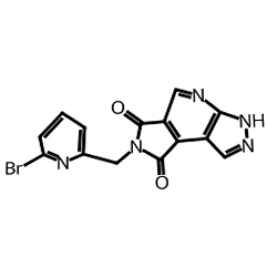 O=C1c2cnc3[nH]ncc3c2C(=O)N1Cc1cccc(Br)n1